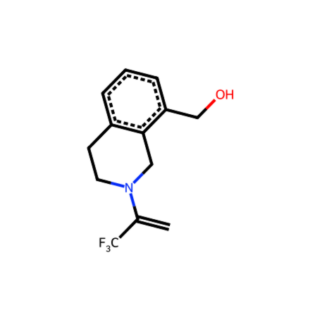 C=C(N1CCc2cccc(CO)c2C1)C(F)(F)F